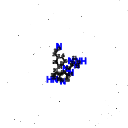 N#CCC1CCC(n2c(-c3nc[nH]n3)nc3cnc4[nH]ccc4c32)CC1